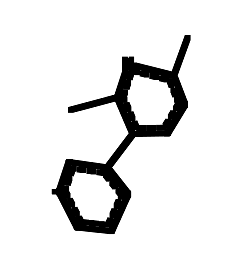 Cc1ccc(-c2c[c]ccc2)c(C)n1